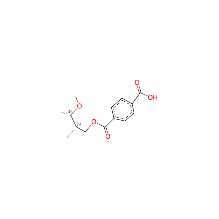 CO[C@@H](C)[C@@H](C)COC(=O)c1ccc(C(=O)O)cc1